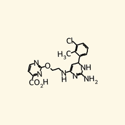 Cc1c(Cl)cccc1C1C=C(NCCOc2nccc(C(=O)O)n2)N=C(N)N1